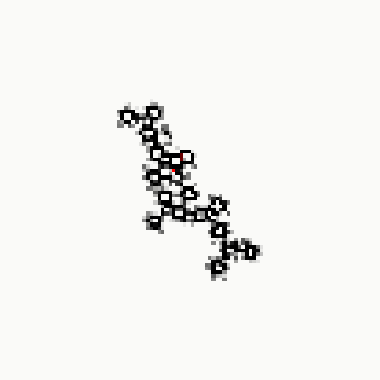 c1ccc(-c2cc(-c3ccc(-n4c5ccccc5c5cc6c(cc54)sc4cc5c(c(-c7cccc(-c8nc(-c9ccccc9)nc(-c9ccccc9-n9c%10ccccc%10c%10c%11c(ccc%109)-c9ccc%10c(c9CCO%11)c9ccccc9n%10-c9ccccc9)n8)c7)c46)c4ccccc4n5-c4ccccc4)cc3)nc(-c3ccccc3)n2)cc1